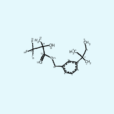 CCC(C)(C)c1cccc(COC(=O)C(C)(O)C(F)(F)F)c1